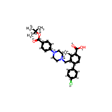 Cc1c(C(=O)O)ccc(-c2ccc(Cl)cc2)c1CN1CCN(c2ccc(C(=O)OC(C)(C)C)cc2)CC1